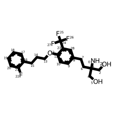 NC(CO)(CO)CCc1ccc(OCCCc2ccccc2F)c(C(F)(F)F)c1